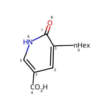 CCCCCCc1cc(C(=O)O)c[nH]c1=O